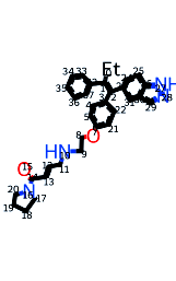 CC/C(=C(/c1ccc(OCCNC/C=C/C(=O)N2CCCC2)cc1)c1ccc2[nH]ncc2c1)c1ccccc1